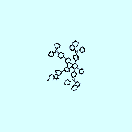 C=C/C=C\C1=C(C)C(C)(C)c2cc(-c3ccc4c(c3)c3cc(-c5ccc(N(c6ccccc6)c6ccccc6)cc5)ccc3c3c(-c5ccc(N(c6ccccc6)c6cccc7c6CCC=C7)cc5)cc(-c5ccccc5)c(-c5ccc(N(C6=CCCC=C6)c6cccc7ccccc67)cc5)c43)ccc21